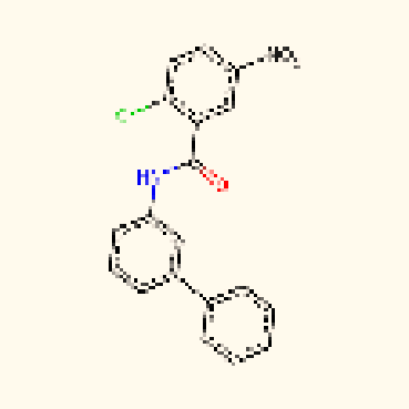 O=C(Nc1cccc(-c2ccccc2)c1)c1cc([N+](=O)[O-])ccc1Cl